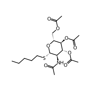 CCCCCS[C@@H]1O[C@H](COC(C)=O)[C@@H](OC(C)=O)[C@H](OC(C)=O)[C@H]1NC(C)=O